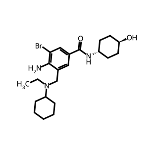 CCN(Cc1cc(C(=O)N[C@H]2CC[C@H](O)CC2)cc(Br)c1N)C1CCCCC1